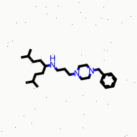 CC(C)CCC(CCC(C)C)NCCCN1CCN(Cc2ccccc2)CC1